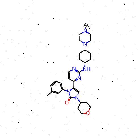 CC(=O)N1CCN([C@H]2CC[C@H](Nc3nccc(-c4cn(C5CCOCC5)c(=O)n4-c4cccc(C)c4)n3)CC2)CC1